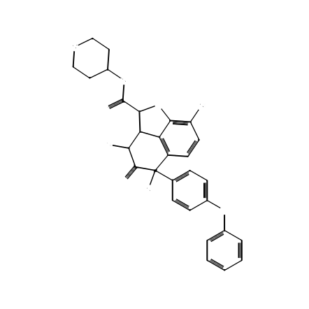 Nc1ccc2c3c1SC(C(=O)NC1CCNCC1)C3C(N)C(=O)C2(N)c1ccc(Oc2ccccc2)cc1